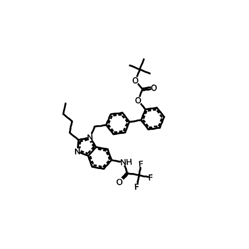 CCCCc1nc2ccc(NC(=O)C(F)(F)F)cc2n1Cc1ccc(-c2ccccc2OC(=O)OC(C)(C)C)cc1